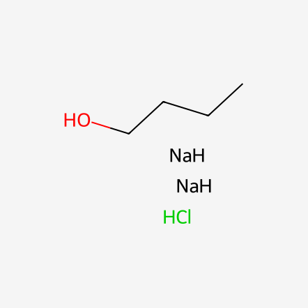 CCCCO.Cl.[NaH].[NaH]